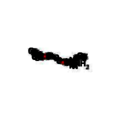 Nc1ncnc2c1c(-c1ccc(Oc3ccccc3)cc1)nn2C1CCN(CCOCCOCCN2CCC(c3ccc4c(c3)CN(C3CCC(=O)CC3=O)C4=O)CC2)CC1